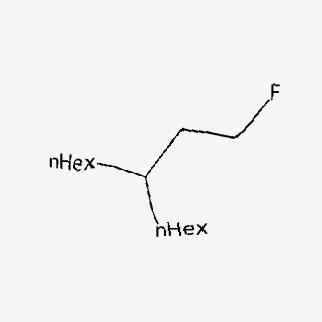 CCCCCCC(CCF)CCCCCC